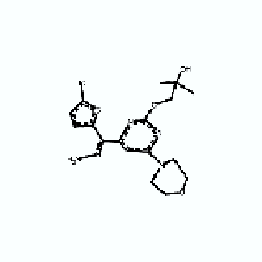 CCc1ccc(C(=NN)c2cc(N3CCOCC3)nc(OCC(C)(C)O)n2)s1